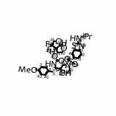 COc1ccc(C[C@H](NC(=O)OC2CO[C@H]3OCC(F)(F)[C@@H]23)[C@H](O)CN(CC(C)C)S(=O)(=O)c2ccc3nc(NC(C)C)sc3c2)cc1